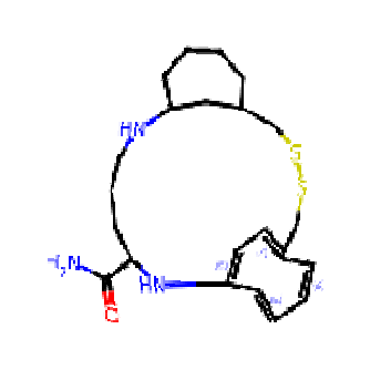 NC(=O)C1CCCNC2CCCCC(CSSCC3=C\C=C(/C=C/C=C\3)N1)C2